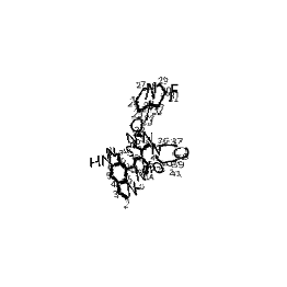 Cn1ccc2cc3[nH]ncc3c(-c3nccc4c3sc3nc(OC[C@@]56CCCN5C[C@H](F)C6)nc(N5CCOC[C@@](C)(O)C5)c34)c21